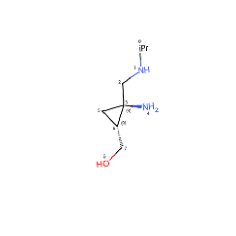 CC(C)NC[C@@]1(N)C[C@H]1CO